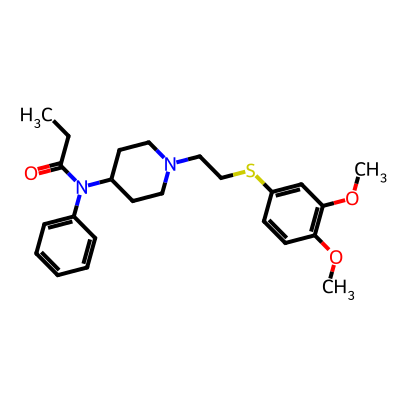 CCC(=O)N(c1ccccc1)C1CCN(CCSc2ccc(OC)c(OC)c2)CC1